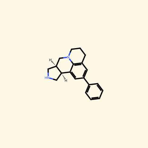 c1ccc(-c2cc3c4c(c2)[C@H]2CNC[C@H]2CN4CCC3)cc1